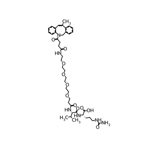 C/C1=C/c2ccccc2N(C(=O)CCC(=O)NCCOCCOCCOCCOCCC(=O)N[C@H](C(=O)N[C@@H](CCCNC(N)=O)C(=O)O)C(C)C)Cc2ccccc21